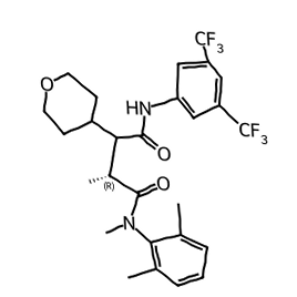 Cc1cccc(C)c1N(C)C(=O)[C@H](C)C(C(=O)Nc1cc(C(F)(F)F)cc(C(F)(F)F)c1)C1CCOCC1